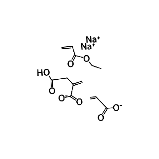 C=C(CC(=O)O)C(=O)[O-].C=CC(=O)OCC.C=CC(=O)[O-].[Na+].[Na+]